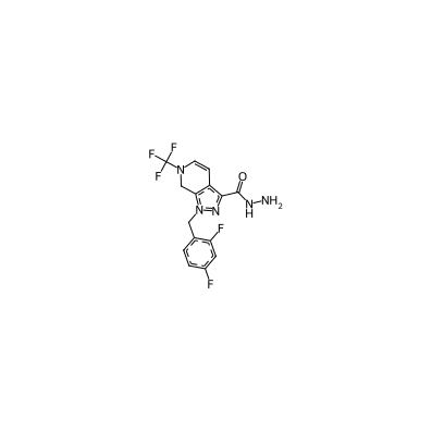 NNC(=O)c1nn(Cc2ccc(F)cc2F)c2c1C=CN(C(F)(F)F)C2